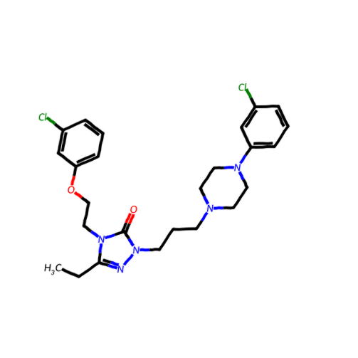 CCc1nn(CCCN2CCN(c3cccc(Cl)c3)CC2)c(=O)n1CCOc1cccc(Cl)c1